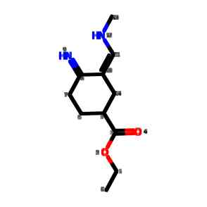 CCOC(=O)C1CCC(=N)/C(=C\NC)C1